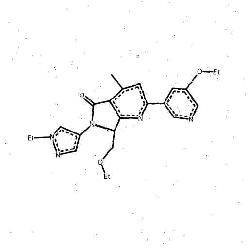 CCOCC1c2nc(-c3cncc(OCC)c3)cc(C)c2C(=O)N1c1cnn(CC)c1